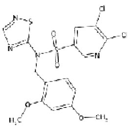 COc1ccc(CN(c2ncns2)S(=O)(=O)c2cnc(Cl)c(Cl)c2)c(OC)c1